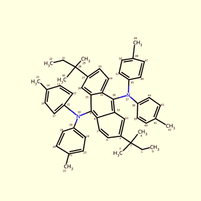 CCC(C)(C)c1ccc2c(N(c3ccc(C)cc3)c3ccc(C)cc3)c3cc(C(C)(C)CC)ccc3c(N(c3ccc(C)cc3)c3ccc(C)cc3)c2c1